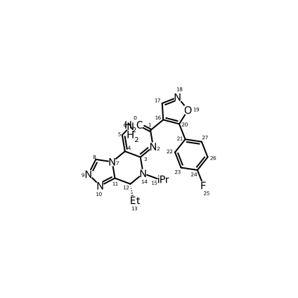 C=C(/N=C1\C(=C/N)n2cnnc2[C@@H](CC)N1C(C)C)c1cnoc1-c1ccc(F)cc1